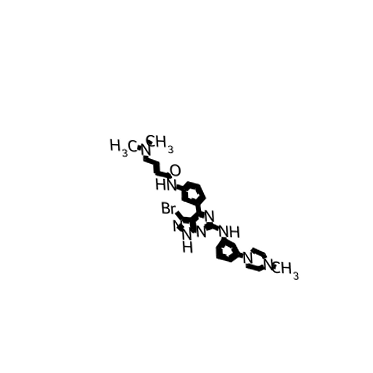 CN(C)C/C=C/C(=O)Nc1cccc(-c2nc(Nc3cccc(N4CCN(C)CC4)c3)nc3[nH]nc(Br)c23)c1